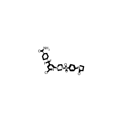 NC(=O)[C@H]1CC[C@H](C(F)(F)c2cc(Cl)nc(N3CCN(S(=O)(=O)c4ccc(N5CCCC5=O)cc4)CC3)c2)CC1